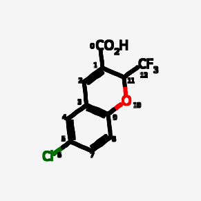 O=C(O)C1=Cc2cc(Cl)ccc2OC1C(F)(F)F